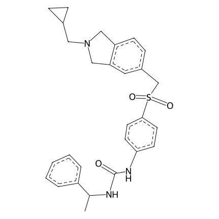 CC(NC(=O)Nc1ccc(S(=O)(=O)Cc2ccc3c(c2)CN(CC2CC2)C3)cc1)c1ccccc1